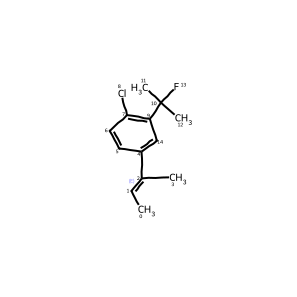 C/C=C(\C)c1ccc(Cl)c(C(C)(C)F)c1